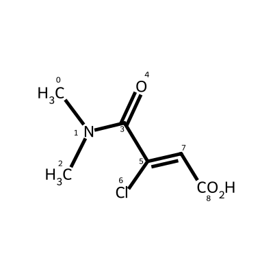 CN(C)C(=O)/C(Cl)=C/C(=O)O